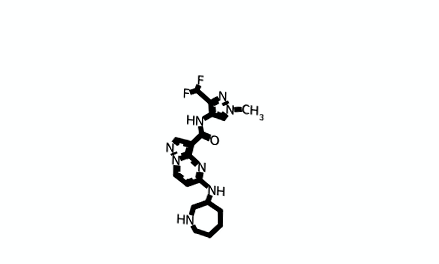 Cn1cc(NC(=O)c2cnn3ccc(NC4CCCCNC4)nc23)c(C(F)F)n1